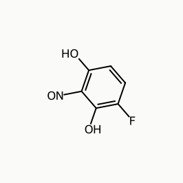 O=Nc1c(O)ccc(F)c1O